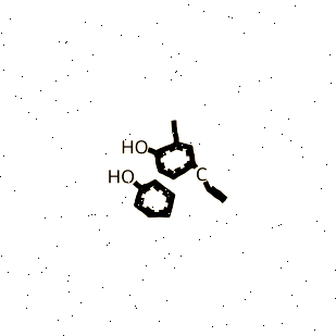 C=CCc1ccc(O)c(C)c1.Oc1ccccc1